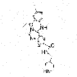 CCOc1cc(F)ccc1Nc1ncnc2sc(C(=O)NCC3CCNCC3)cc12